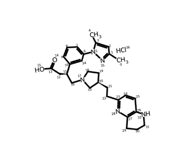 Cc1cc(C)n(-c2cccc([C@H](CC(=O)O)CN3CC[C@@H](CCc4ccc5c(n4)CCCN5)C3)c2)n1.Cl